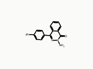 CC(C)c1ccc(-c2nn(N)c(=O)c3ccccc23)cc1